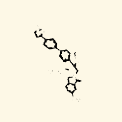 CNOC[C@@](CN1Cc2ccc(OC)cc2C1=O)(NCO)c1ccc(-c2ccc(-c3cc[nH]n3)cc2)cc1